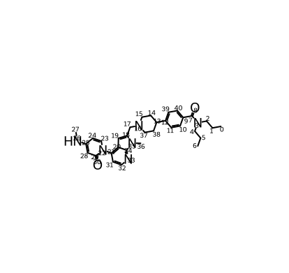 CCCN(CCC)C(=O)c1ccc(C2CCN(Cc3cc4c(-n5ccc(NC)cc5=O)ccnc4n3C)CC2)cc1